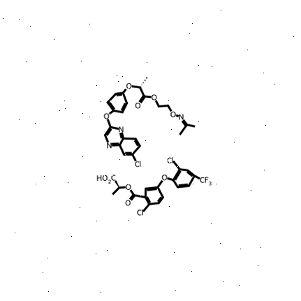 CC(C)=NOCCOC(=O)[C@@H](C)Oc1ccc(Oc2cnc3cc(Cl)ccc3n2)cc1.C[C@H](OC(=O)c1cc(Oc2ccc(C(F)(F)F)cc2Cl)ccc1Cl)C(=O)O